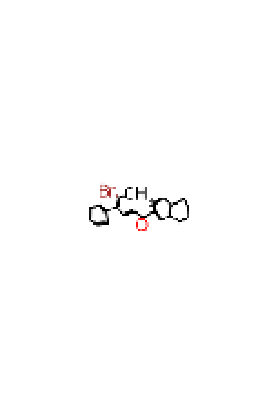 CC(Br)=C(C=CC(=O)c1ccc2c(c1)CCCC2)c1ccccc1